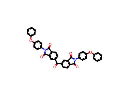 O=C(c1ccc2c(c1)C(=O)N(c1ccc(Oc3ccccc3)cc1)C2=O)c1ccc2c(c1)C(=O)N(c1ccc(Oc3ccccc3)cc1)C2=O